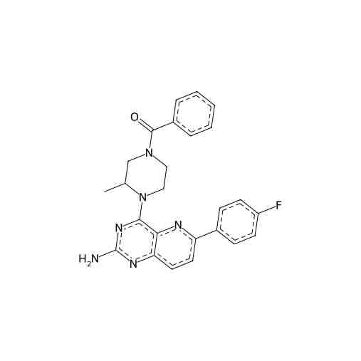 CC1CN(C(=O)c2ccccc2)CCN1c1nc(N)nc2ccc(-c3ccc(F)cc3)nc12